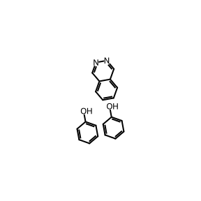 Oc1ccccc1.Oc1ccccc1.c1ccc2cnncc2c1